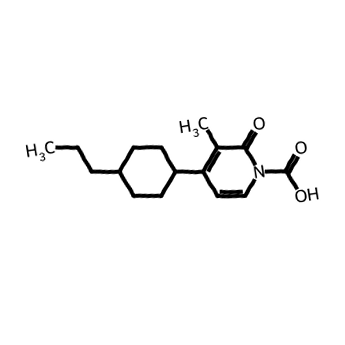 CCCC1CCC(c2ccn(C(=O)O)c(=O)c2C)CC1